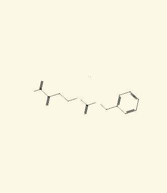 O=C(NCCC(=O)C(=O)[O-])OCc1ccccc1.[Na+]